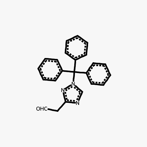 O=CCc1ncn(C(c2ccccc2)(c2ccccc2)c2ccccc2)n1